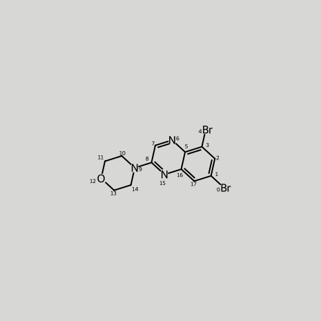 Brc1cc(Br)c2ncc(N3CCOCC3)nc2c1